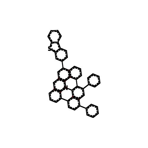 c1ccc(-c2ccc(-c3ccccc3N(c3ccc(-c4ccc5c(c4)sc4ccccc45)cc3)c3cccc(-c4ccccc4)c3-c3ccccc3-c3ccccc3)cc2)cc1